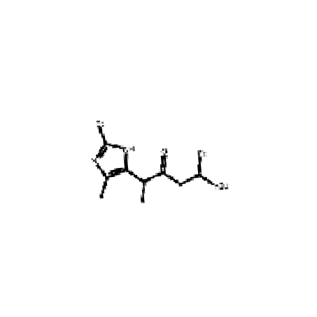 CCCCC(CC)CC(=O)C(C)c1[nH]c(CC)nc1C